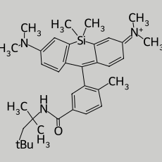 Cc1ccc(C(=O)NC(C)(C)CC(C)(C)C)cc1C1=C2C=CC(=[N+](C)C)C=C2[Si](C)(C)c2cc(N(C)C)ccc21